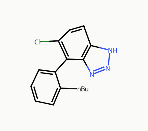 CCCCc1ccccc1-c1c(Cl)ccc2[nH]nnc12